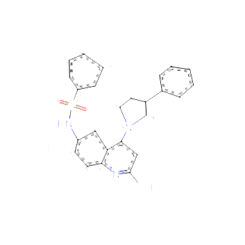 Cc1cc(N2CCC(c3ccccc3)C2)c2cc(NS(=O)(=O)c3ccccc3)ccc2n1.Cl